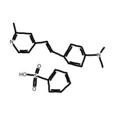 Cc1cc(C=Cc2ccc(N(C)C)cc2)ccn1.O=S(=O)(O)c1ccccc1